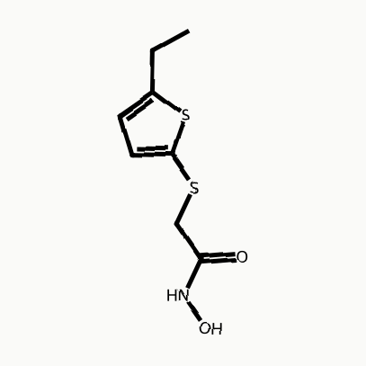 CCc1ccc(SCC(=O)NO)s1